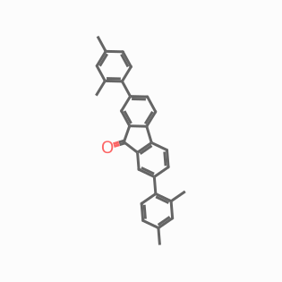 Cc1ccc(-c2ccc3c(c2)C(=O)c2cc(-c4ccc(C)cc4C)ccc2-3)c(C)c1